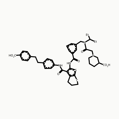 CCC(CC)N(Cc1cccc(C(=O)Nc2sc3c(c2C(=O)Nc2ccc(CCc4ccc(C(=O)O)cc4)cc2)CCCC3)c1)C(=O)CN1CCCC(C(=O)O)C1